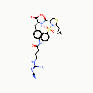 CCC1SC[C@@H](C(=O)N[C@@H](Cc2ccc(NC(=O)CCCN/C(N)=N/C#N)cc2)C(=O)O)N1S(=O)(=O)c1ccccc1